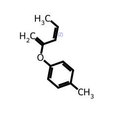 C=C(/C=C\C)Oc1ccc(C)cc1